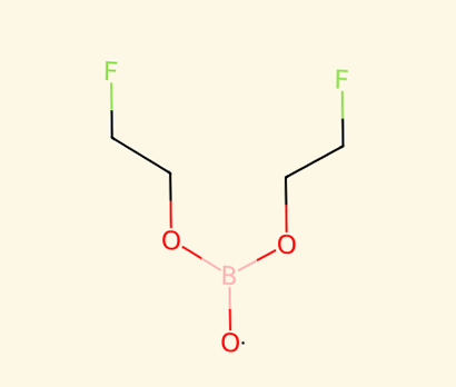 [O]B(OCCF)OCCF